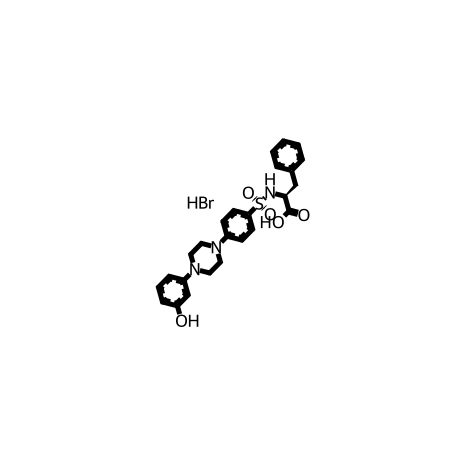 Br.O=C(O)[C@H](Cc1ccccc1)NS(=O)(=O)c1ccc(N2CCN(c3cccc(O)c3)CC2)cc1